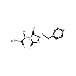 CNC(=O)[C@@H](C(C)C)N1C(=O)N[C@@H](CCc2ccccc2)C1=O